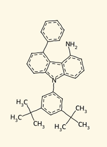 CC(C)(C)c1cc(-n2c3cccc(N)c3c3c(-c4ccccc4)cccc32)cc(C(C)(C)C)c1